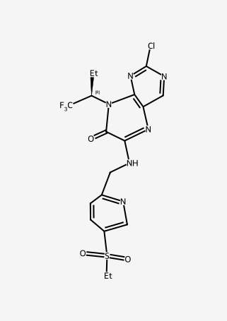 CC[C@@H](n1c(=O)c(NCc2ccc(S(=O)(=O)CC)cn2)nc2cnc(Cl)nc21)C(F)(F)F